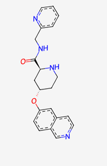 O=C(NCc1ccccn1)[C@@H]1C[C@@H](Oc2ccc3cnccc3c2)CCN1